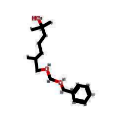 CC(CCCC(C)(C)O)COCOCc1ccccc1